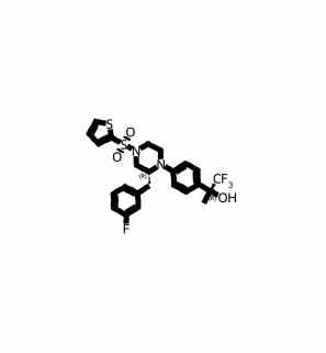 C[C@@](O)(c1ccc(N2CCN(S(=O)(=O)c3cccs3)C[C@H]2Cc2cccc(F)c2)cc1)C(F)(F)F